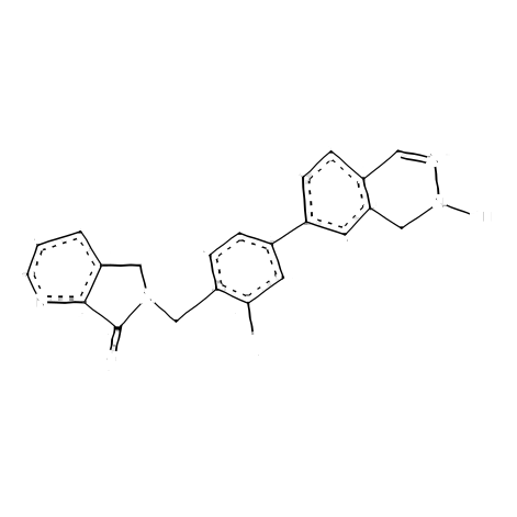 CN1Cc2cc(-c3ccc(CN4Cc5cccnc5C4=O)c(F)c3)ccc2C=N1